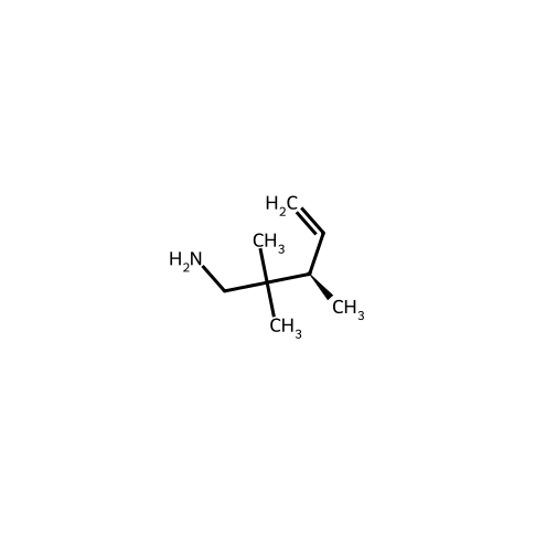 C=C[C@@H](C)C(C)(C)CN